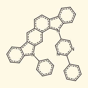 c1ccc(-c2ncc(-n3c4ccccc4c4ccc5cc6c7ccccc7n(-c7ccccc7)c6cc5c43)cn2)cc1